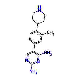 Cc1cc(-c2cnc(N)nc2N)ccc1C1CCNCC1